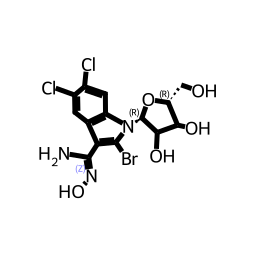 N/C(=N\O)c1c(Br)n([C@@H]2O[C@H](CO)C(O)C2O)c2cc(Cl)c(Cl)cc12